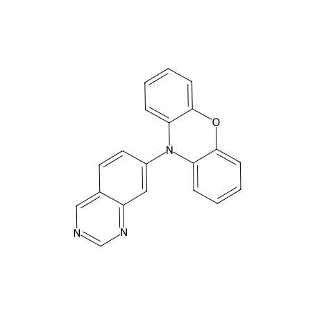 c1ccc2c(c1)Oc1ccccc1N2c1ccc2cncnc2c1